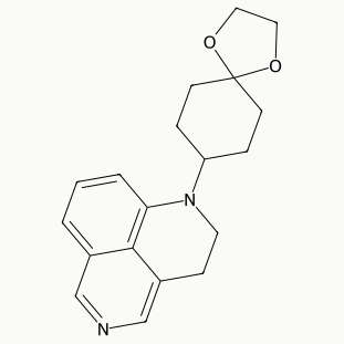 c1cc2c3c(cncc3c1)CCN2C1CCC2(CC1)OCCO2